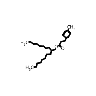 CCCCCCCCC(CCCCCCCC)COC(=O)CCc1ccc(C)cc1